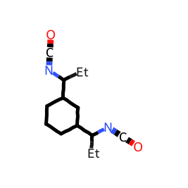 CCC(N=C=O)C1CCCC(C(CC)N=C=O)C1